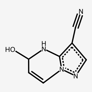 N#Cc1cnn2c1NC(O)C=C2